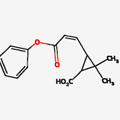 CC1(C)C(/C=C\C(=O)Oc2ccccc2)C1C(=O)O